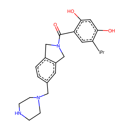 CC(C)c1cc(C(=O)N2Cc3ccc(CN4CCNCC4)cc3C2)c(O)cc1O